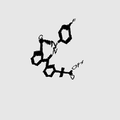 CC(C)(C(=O)O)c1cccc(-c2nn(-c3ccc(F)cc3)c(=O)c3ccccc23)c1